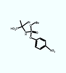 CCCCOP(=O)(NC(C)(C(=O)O)C(C)C)Oc1ccc([N+](=O)[O-])cc1